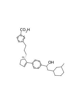 CC1CCCC(CC(O)c2ccc(C3=CCC[C@@H]3CCCc3ccc(C(=O)O)s3)cc2)C1